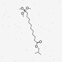 CO[Si](CCCCCCCCCCC(=O)OCC(C)C)(OC)OC